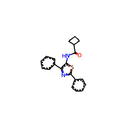 O=C(Nc1sc(-c2ccccc2)nc1-c1ccccc1)C1CCC1